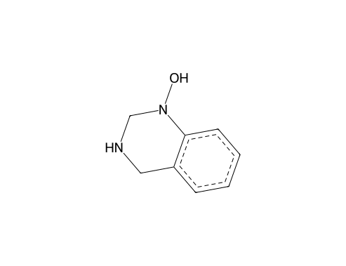 ON1CNCc2ccccc21